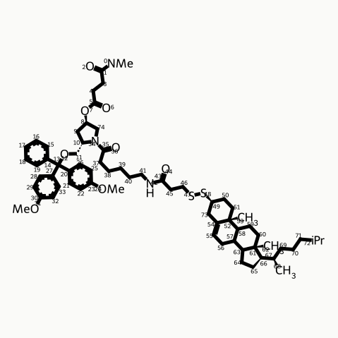 CNC(=O)CCC(=O)O[C@@H]1C[C@@H](COC(c2ccccc2)(c2ccc(OC)cc2)c2ccc(OC)cc2)N(C(=O)CCCCCNC(=O)CCSS[C@H]2CC[C@@]3(C)C(=CCC4C3CC[C@@]3(C)C4CC[C@@H]3[C@H](C)CCCC(C)C)C2)C1